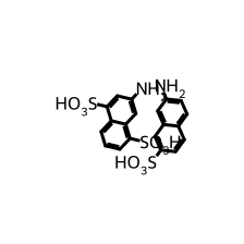 Nc1cc(S(=O)(=O)O)c2cccc(S(=O)(=O)O)c2c1.Nc1ccc2ccc(S(=O)(=O)O)cc2c1